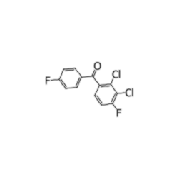 O=C(c1ccc(F)cc1)c1ccc(F)c(Cl)c1Cl